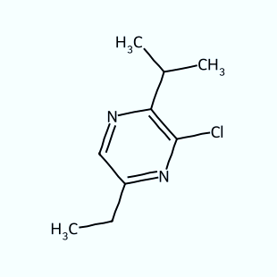 CCc1cnc(C(C)C)c(Cl)n1